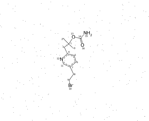 CC(C)(Cc1ccc(CCBr)cn1)OC(N)=O